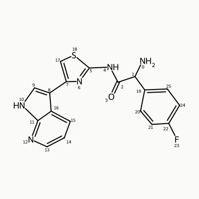 NC(C(=O)Nc1nc(-c2c[nH]c3ncccc23)cs1)c1ccc(F)cc1